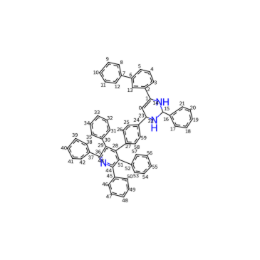 C1=C(c2cccc(-c3ccccc3)c2)NC(c2ccccc2)NC1c1ccc(-c2c(-c3ccccc3)c(-c3ccccc3)nc(-c3ccccc3)c2-c2ccccc2)cc1